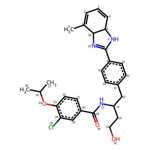 CC1=CC=CC2NC(c3ccc(CC(CCO)NC(=O)c4ccc(OC(C)C)c(Cl)c4)cc3)=NC12